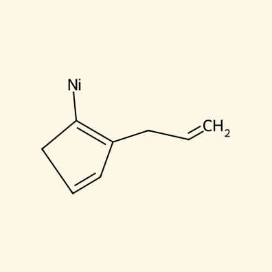 C=CCC1=[C]([Ni])CC=C1